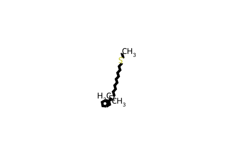 CCCSCCCCCCCCCCC[Si](C)(C)C1CC2CCC1C2